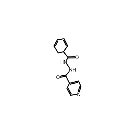 O=C(NNC(=O)C1C=CC=CC1)c1ccncc1